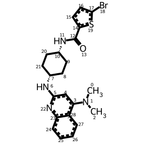 CN(C)c1cc(N[C@H]2CC[C@@H](NC(=O)c3ccc(Br)s3)CC2)nc2ccccc12